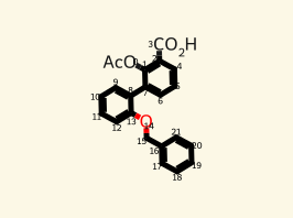 CC(=O)Oc1c(C(=O)O)cccc1-c1ccccc1OCc1ccccc1